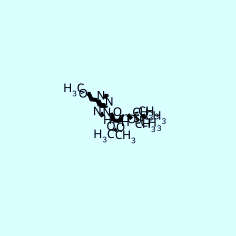 COCCc1ncnc2c1ncn2[C@@H]1O[C@H](CO[Si](C)(C)C(C)(C)C)[C@H]2OC(C)(C)O[C@@H]21